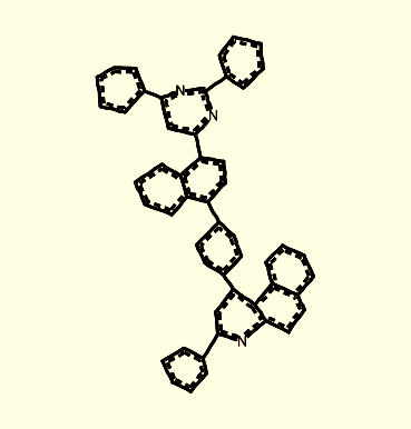 c1ccc(-c2cc(-c3ccc(-c4ccc(-c5cc(-c6ccccc6)nc6ccc7ccccc7c56)cc4)c4ccccc34)nc(-c3ccccc3)n2)cc1